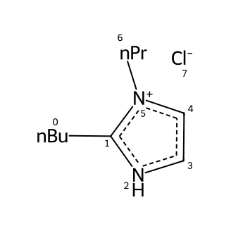 CCCCc1[nH]cc[n+]1CCC.[Cl-]